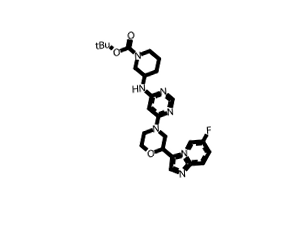 CC(C)(C)OC(=O)N1CCCC(Nc2cc(N3CCOC(c4cnc5ccc(F)cn45)C3)ncn2)C1